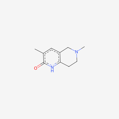 Cc1cc2c([nH]c1=O)CCN(C)C2